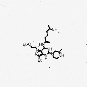 C=C(CCCC(C)N)NC1NC(N2CCN[C@H](C)C2)Nc2c(CC)nn(CCOCC)c21